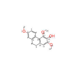 COc1ccc2c(c1)CCc1cc(OC)c(O)c(OC)c1-2